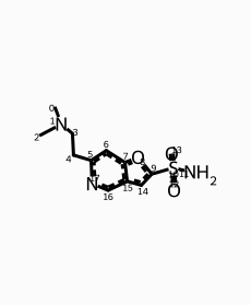 CN(C)CCc1cc2oc(S(N)(=O)=O)cc2cn1